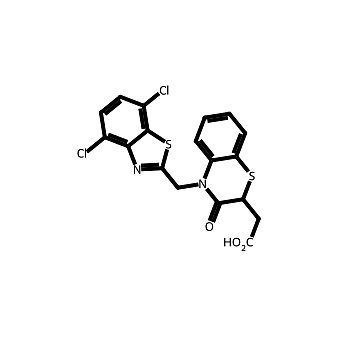 O=C(O)CC1Sc2ccccc2N(Cc2nc3c(Cl)ccc(Cl)c3s2)C1=O